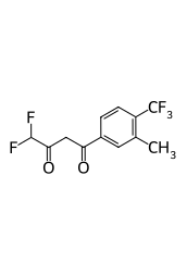 Cc1cc(C(=O)CC(=O)C(F)F)ccc1C(F)(F)F